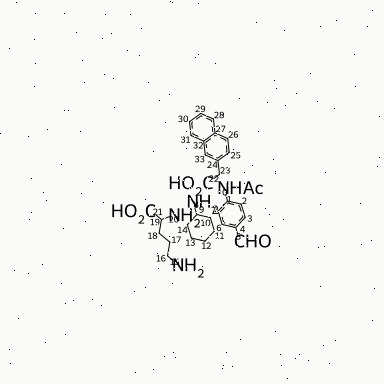 CC(=O)Nc1ccc(C=O)cc1.NC1CCCCC1.NCCCC(N)C(=O)O.O=C(O)Cc1ccc2ccccc2c1